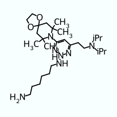 CC(C)N(CCC1=NN(NCCCCCCN)NC(N2C(C)(C)CC3(CC2(C)C)OCCO3)=C1)C(C)C